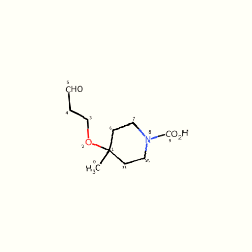 CC1(OCCC=O)CCN(C(=O)O)CC1